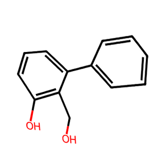 OCc1c(O)cccc1-c1ccccc1